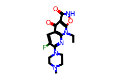 CCn1c2nc(N3CCN(C)CC3)c(F)cc2c(=O)c2c(=O)[nH]oc21